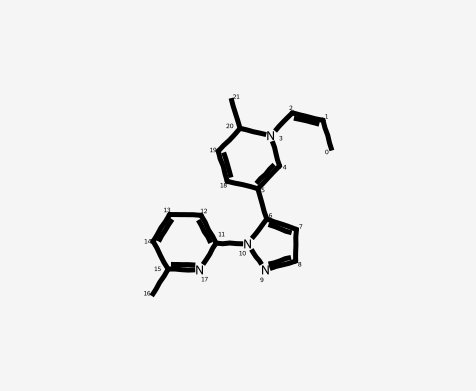 C/C=C\N1C=C(c2ccnn2-c2cccc(C)n2)C=CC1C